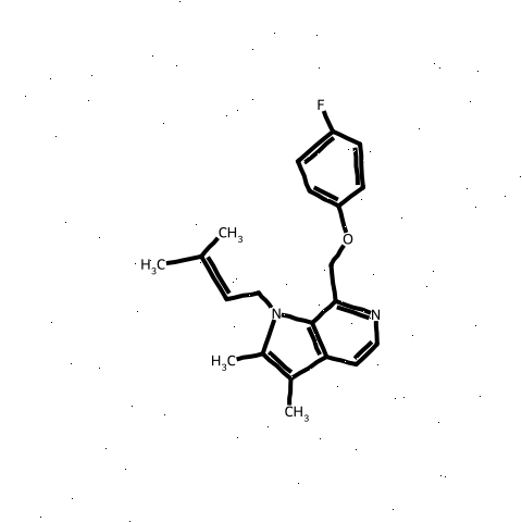 CC(C)=CCn1c(C)c(C)c2ccnc(COc3ccc(F)cc3)c21